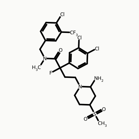 CN(Cc1ccc(Cl)c(C(F)(F)F)c1)C(=O)C(F)(CCN1CCC(S(C)(=O)=O)CC1N)c1ccc(Cl)c(Cl)c1